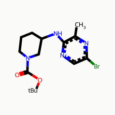 Cc1nc(Br)cnc1NC1CCCN(C(=O)OC(C)(C)C)C1